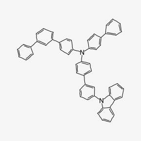 c1ccc(-c2ccc(N(c3ccc(-c4cccc(-c5ccccc5)c4)cc3)c3ccc(-c4cccc(-n5c6ccccc6c6ccccc65)c4)cc3)cc2)cc1